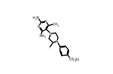 CCOC(=O)c1ccc(N2CCN(c3c(C)nc(N)nc3N)CC2I)cc1